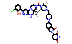 C[C@@H]1CN(CC2CCN(c3ccc4c(c3)C(=O)N([C@@H]3CCC(=O)NC3=O)C4)CC2)C[C@H](C)N1C(=O)N1CCN2c3cc(-c4cccc(Cl)c4O)nnc3NC[C@]2(C)C1